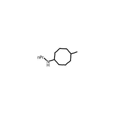 CCCNC1CCCC(C)CCC1